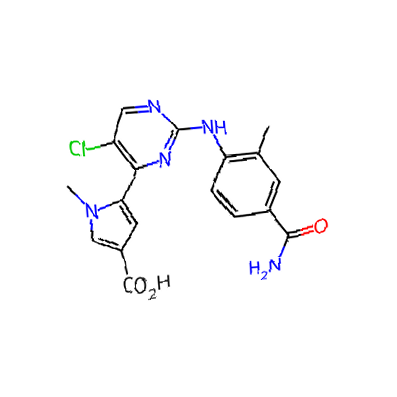 Cc1cc(C(N)=O)ccc1Nc1ncc(Cl)c(-c2cc(C(=O)O)cn2C)n1